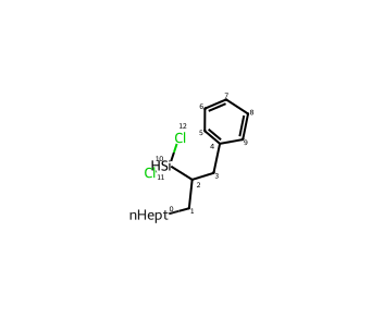 CCCCCCCCC(Cc1ccccc1)[SiH](Cl)Cl